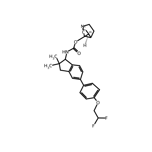 CC1(C)Cc2cc(-c3ccc(OCC(F)F)cc3)ccc2C1NC(=O)O[C@H]1CN2CCC1CC2